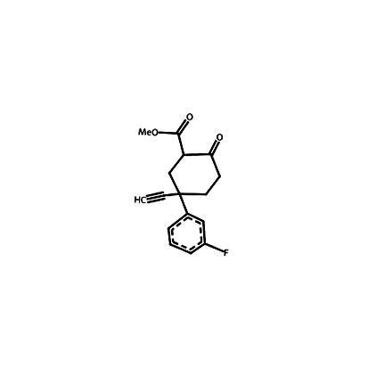 C#CC1(c2cccc(F)c2)CCC(=O)C(C(=O)OC)C1